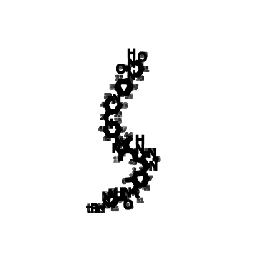 Cc1cc(-c2ncnc3[nH]c(-c4c(C)nn(C5CCN(CC6CCN(c7ccc(N8CCC(=O)NC8=O)cc7)CC6)CC5)c4C)cc23)ccc1[C@@H](C)NC(=O)c1cn(C(C)(C)C)nn1